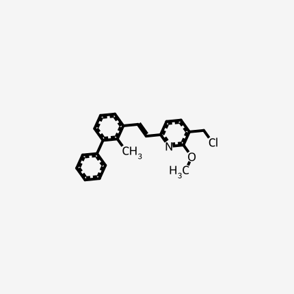 COc1nc(/C=C/c2cccc(-c3ccccc3)c2C)ccc1CCl